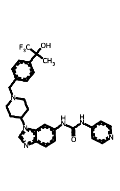 CC(O)(c1ccc(CN2CCC(n3cnc4ccc(NC(=O)Nc5ccncc5)cc43)CC2)cc1)C(F)(F)F